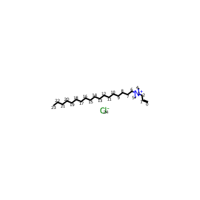 C=CC[N+](C)(C)CCCCCCCCCCCCCCCCCC.[Cl-]